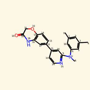 Cc1cc(C)cc(N(C)c2cc(-c3ccc4c(c3)NC(=O)CO4)ccn2)c1